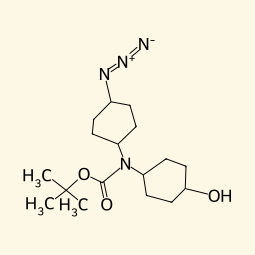 CC(C)(C)OC(=O)N(C1CCC(O)CC1)C1CCC(N=[N+]=[N-])CC1